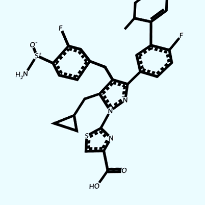 CC1CCCC=C1c1cc(-c2nn(-c3nc(C(=O)O)cs3)c(CC3CC3)c2Cc2ccc([S+](N)[O-])c(F)c2)ccc1F